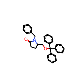 O=C1CCC(COC(c2ccccc2)(c2ccccc2)c2ccccc2)N1Cc1ccccc1